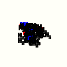 C=C(CNC(=C)C1CCCN1C(=O)C(CCCNC(N)=O)NC(=C)C(NC(=C)CCC(C)(C)OCC(C)(C)N1C(=C)C(C(C)C)CC1=O)C(C)C)NCC(=C)C(C)C